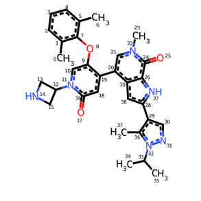 Cc1cccc(C)c1Oc1cn(C2CNC2)c(=O)cc1-c1cn(C)c(=O)c2[nH]c(-c3cnn(C(C)C)c3C)cc12